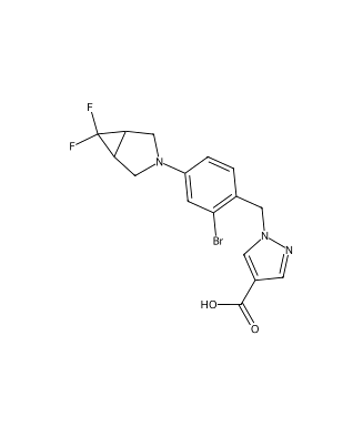 O=C(O)c1cnn(Cc2ccc(N3CC4C(C3)C4(F)F)cc2Br)c1